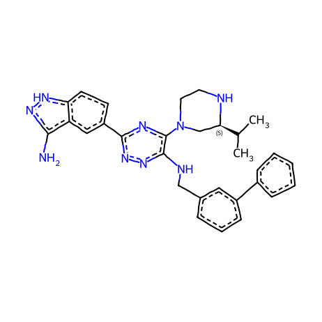 CC(C)[C@H]1CN(c2nc(-c3ccc4[nH]nc(N)c4c3)nnc2NCc2cccc(-c3ccccc3)c2)CCN1